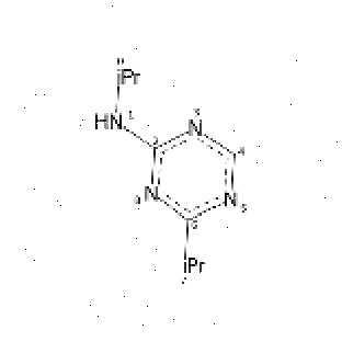 CC(C)Nc1ncnc(C(C)C)n1